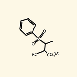 CCOC(=O)C(C(C)=O)C(C)S(=O)(=O)c1ccccc1